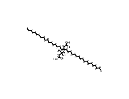 CCCCCCCCCCCCCCCCCCC(CCCCCCCCCCCCCCCCCC)(CC(=O)O)SC(C)(CC)CC(=O)O